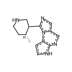 C[C@@H]1CCNCC1c1ncc2cnc3[nH]ccc3n12